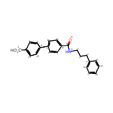 O=C(O)c1ccc(-c2ccc(C(=O)NCCCc3ccccc3)cc2)cc1